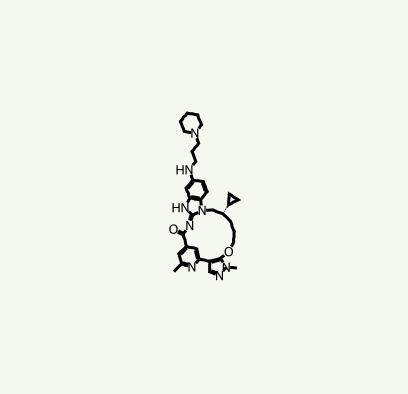 Cc1cc2cc(n1)-c1cnn(C)c1OCCC[C@@H](C1CC1)CN1/C(=N/C2=O)Nc2cc(NCCCN3CCCCC3)ccc21